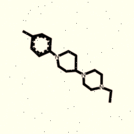 CCN1CCN(C2CCN(c3ccc(C)cc3)CC2)CC1